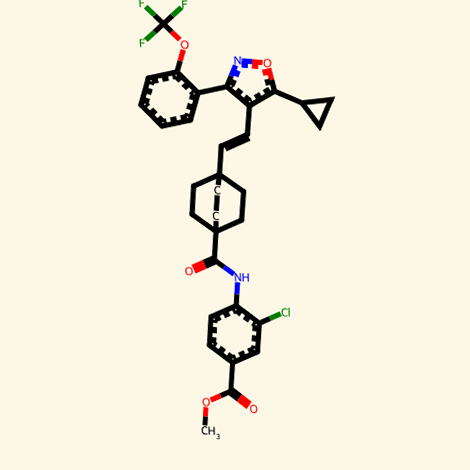 COC(=O)c1ccc(NC(=O)C23CCC(/C=C/c4c(-c5ccccc5OC(F)(F)F)noc4C4CC4)(CC2)CC3)c(Cl)c1